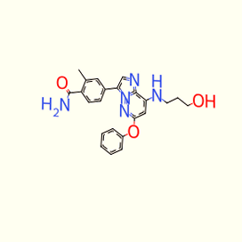 Cc1cc(-c2cnc3c(NCCCO)cc(Oc4ccccc4)nn23)ccc1C(N)=O